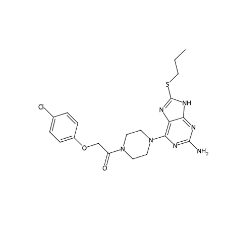 CCCSc1nc2c(N3CCN(C(=O)COc4ccc(Cl)cc4)CC3)nc(N)nc2[nH]1